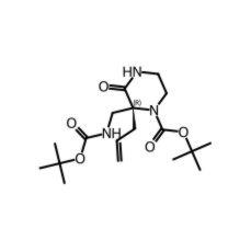 C=CC[C@@]1(CNC(=O)OC(C)(C)C)C(=O)NCCN1C(=O)OC(C)(C)C